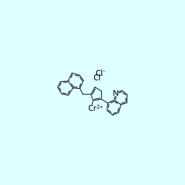 [Cl-].[Cl-].[Cr+2][C]1=C(c2cccc3cccnc23)CC=C1Cc1cccc2ccccc12